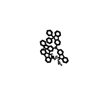 CC1(C)c2ccccc2-c2ccc(N(c3ccc4c(c3)C(c3ccccc3)(c3ccccc3)c3ccccc3-4)c3cc(C4(C)c5ccccc5-c5ccccc54)c4oc5ccccc5c4c3)cc21